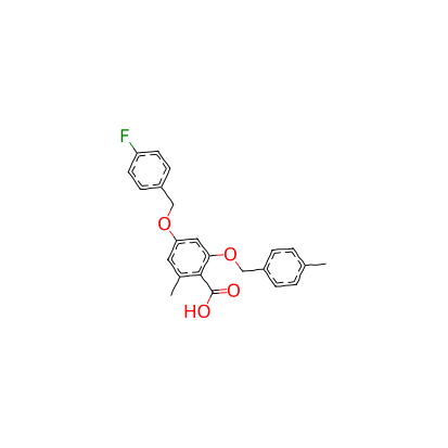 Cc1ccc(COc2cc(OCc3ccc(F)cc3)cc(C)c2C(=O)O)cc1